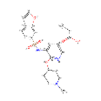 CCC(=O)O.CN1CCC(Oc2ncccc2NS(=O)(=O)c2ccc3ccoc3c2)CC1